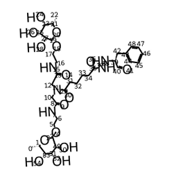 C[C@@H]1O[C@@H](OCCNC(=O)CN(CC(=O)NCCO[C@@H]2O[C@@H](C)[C@@H](O)[C@@H](O)[C@@H]2O)C(=O)CCCCC(=O)NN[C@H](C=O)Cc2ccccc2)[C@@H](O)[C@H](O)[C@@H]1O